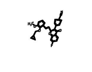 COc1cccc(C=Cc2oc3cc(F)ccc3c(=O)c2-c2ccc(C#N)cc2)c1OCC1CC1